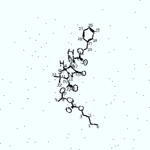 CCCCOC(=O)OC(C)OC(=O)[C@@H]1N2C(=O)[C@@H](NC(=O)OCc3ccccc3)[C@H]2SC1(C)C